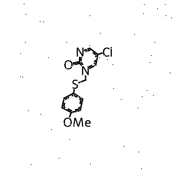 COc1ccc(SCn2cc(Cl)cnc2=O)cc1